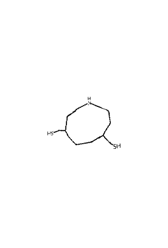 SC1CCNCCC(S)CC1